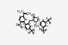 C=C(C)c1ccc([N+](=O)[O-])c(-c2ccc(C(F)(F)F)cc2CN2C(=O)O[C@H](c3cc(C(F)(F)F)cc(C(F)(F)F)c3)[C@@H]2C)n1